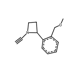 C#CN1CCC1c1ccccc1COC